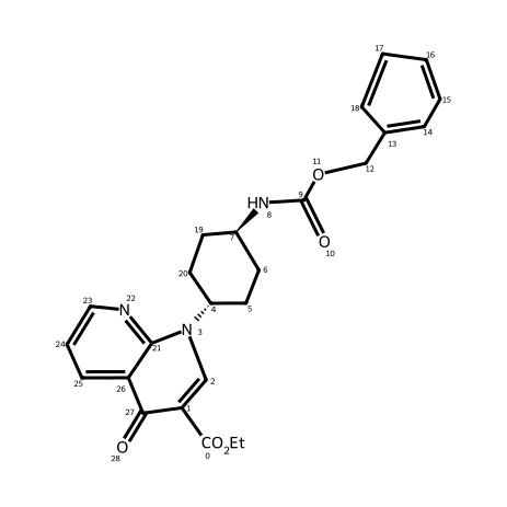 CCOC(=O)c1cn([C@H]2CC[C@H](NC(=O)OCc3ccccc3)CC2)c2ncccc2c1=O